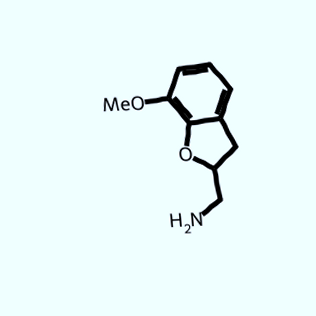 COc1cccc2c1OC(CN)C2